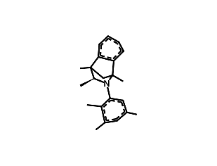 Cc1cc(C)c(C)c(N2[C@@H](C)C3(C)CC2(C)c2ccccc23)c1